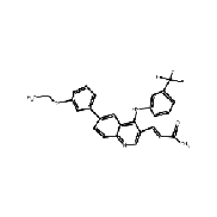 CCOc1cccc(-c2ccc3ncc(/C=C/C(C)=O)c(Nc4cccc(C(F)(F)F)c4)c3c2)c1